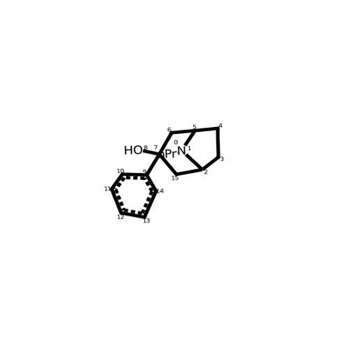 CCCN1C2CCC1CC(O)(c1ccccc1)C2